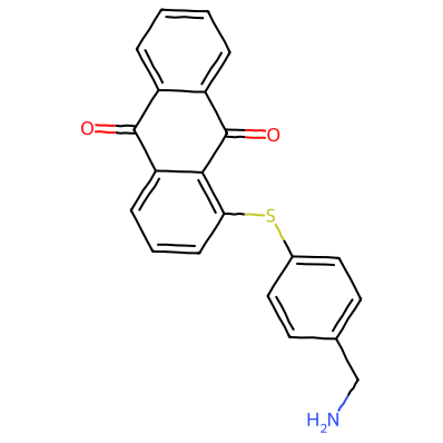 NCc1ccc(Sc2cccc3c2C(=O)c2ccccc2C3=O)cc1